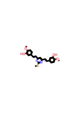 COc1ccc(/C=C/c2cc(/C=C/c3ccc(OC)c(O)c3)nc(SC)n2)cc1O